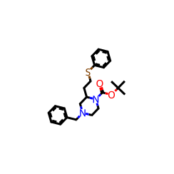 CC(C)(C)OC(=O)N1CCN(Cc2ccccc2)CC1CCSc1ccccc1